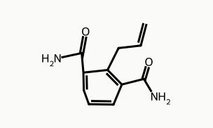 C=CCc1c(C(N)=O)cccc1C(N)=O